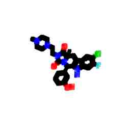 CN1CCN(CCN2C(=O)N3[C@H](C4=CCCC(O)=C4)c4[nH]c5cc(F)c(Cl)cc5c4C[C@@]3(C)C2=O)CC1